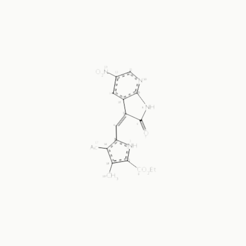 CCOC(=O)c1[nH]c(C=C2C(=O)Nc3ncc([N+](=O)[O-])cc32)c(C(C)=O)c1C